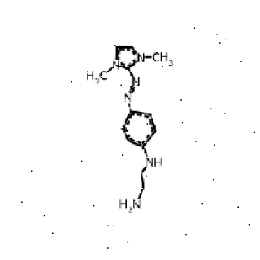 Cn1cc[n+](C)c1N=Nc1ccc(NCCN)cc1